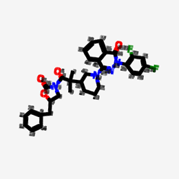 CC(C)(C(=O)N1CC(Cc2ccccc2)OC1=O)C1CCCN(c2nn(-c3ccc(F)cc3F)c(=O)c3ccccc23)C1